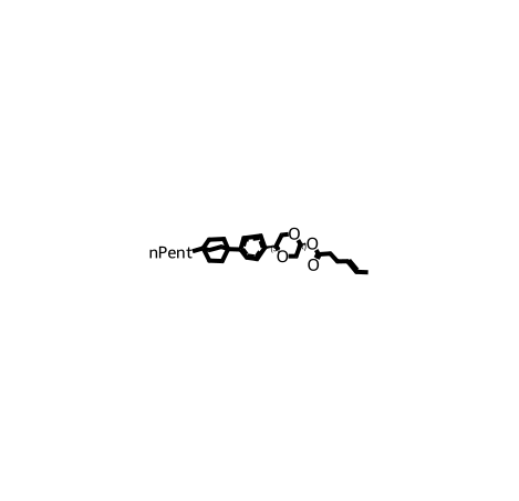 CC=CCCC(=O)O[C@@H]1CO[C@@H](c2ccc(C34CCC(CCCCC)(CC3)CC4)cc2)CO1